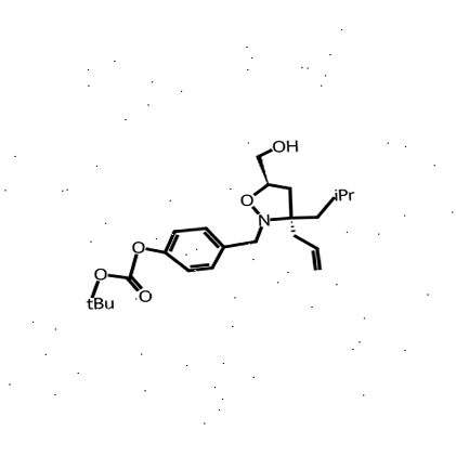 C=CC[C@@]1(CC(C)C)C[C@H](CO)ON1Cc1ccc(OC(=O)OC(C)(C)C)cc1